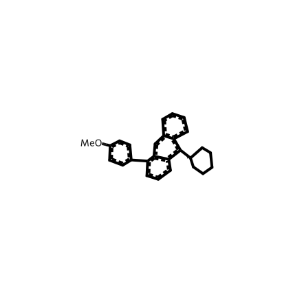 COc1ccc(-c2cccc3c([C]4CCCCC4)c4ccccc4cc23)cc1